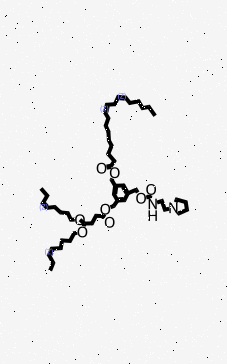 CC/C=C\CCCCOC(CCC(=O)OCc1cc(COC(=O)CCCCCCC/C=C\C/C=C\CCCCC)cc(COC(=O)NCCN2CCCC2)c1)OCCCC/C=C\CC